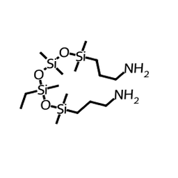 CC[Si](C)(O[Si](C)(C)CCCN)O[Si](C)(C)O[Si](C)(C)CCCN